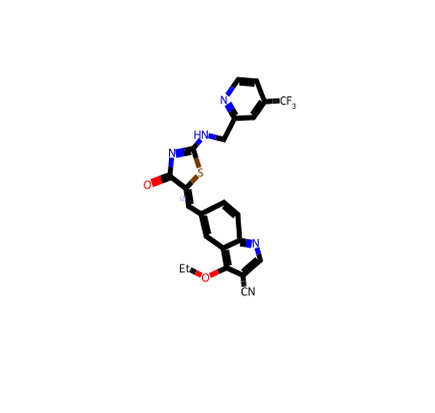 CCOc1c(C#N)cnc2ccc(/C=C3\SC(NCc4cc(C(F)(F)F)ccn4)=NC3=O)cc12